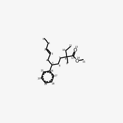 CCC=CCC(CCC(C)(CC)C(=O)OC)c1ccccc1